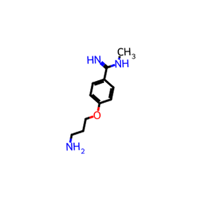 CNC(=N)c1ccc(OCCCN)cc1